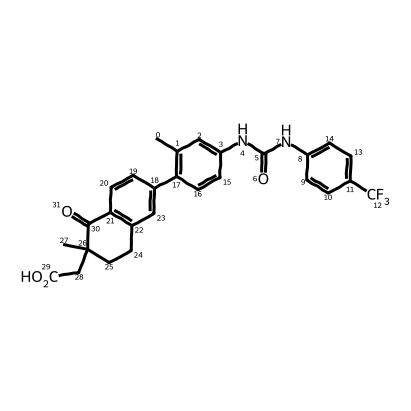 Cc1cc(NC(=O)Nc2ccc(C(F)(F)F)cc2)ccc1-c1ccc2c(c1)CCC(C)(CC(=O)O)C2=O